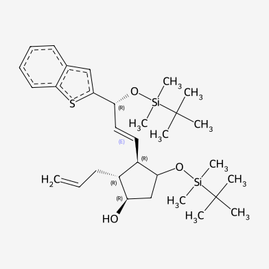 C=CC[C@H]1[C@H](O)CC(O[Si](C)(C)C(C)(C)C)[C@@H]1/C=C/[C@@H](O[Si](C)(C)C(C)(C)C)c1cc2ccccc2s1